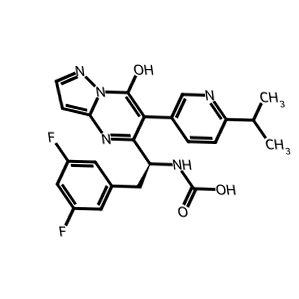 CC(C)c1ccc(-c2c([C@H](Cc3cc(F)cc(F)c3)NC(=O)O)nc3ccnn3c2O)cn1